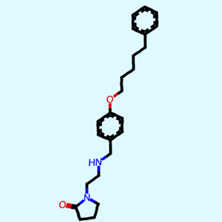 O=C1CCCN1CCNCc1ccc(OCCCCCc2ccccc2)cc1